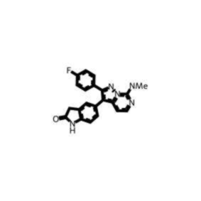 CNc1nccc2c(-c3ccc4c(c3)CC(=O)N4)c(-c3ccc(F)cc3)nn12